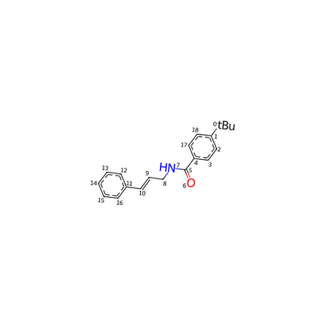 CC(C)(C)c1ccc(C(=O)NCC=Cc2ccccc2)cc1